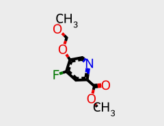 COCOc1cnc(C(=O)OC)cc1F